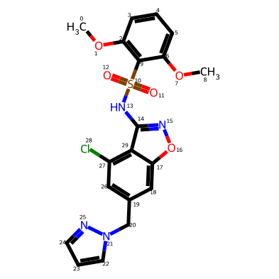 COc1cccc(OC)c1S(=O)(=O)Nc1noc2cc(Cn3cccn3)cc(Cl)c12